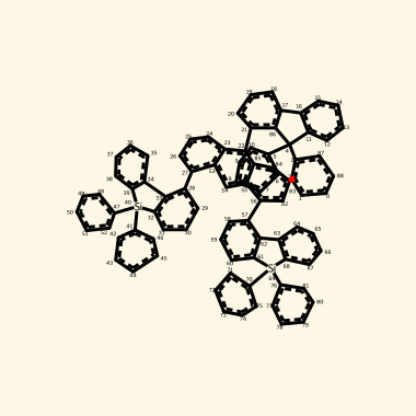 c1ccc(C2(c3ccccc3)c3ccccc3-c3cccc(-c4c5cccc(-c6cccc7c6-c6ccccc6[Si]7(c6ccccc6)c6ccccc6)c5cc5c(-c6cccc7c6-c6ccccc6[Si]7(c6ccccc6)c6ccccc6)cccc45)c32)cc1